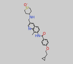 Cc1c(NC(=O)c2ccc(OCCC3CC3)cc2)ccc2cc(CNC3CC[S+]([O-])CC3)cnc12